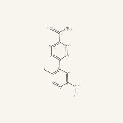 COc1ccc(C)c(-c2ccc(C(N)=O)cc2)c1